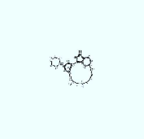 C[C@@H]1CNCCCOc2ccc3[nH]nc(c3c2)-c2cc(cc(N3CCOCC3)c2)O1